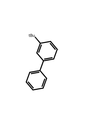 CC(C)(C)c1c[c]cc(-c2ccccc2)c1